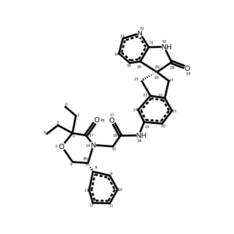 CCC1(CC)OC[C@@H](c2ccccc2)N(CC(=O)Nc2ccc3c(c2)C[C@@]2(C3)C(=O)Nc3ncccc32)C1=O